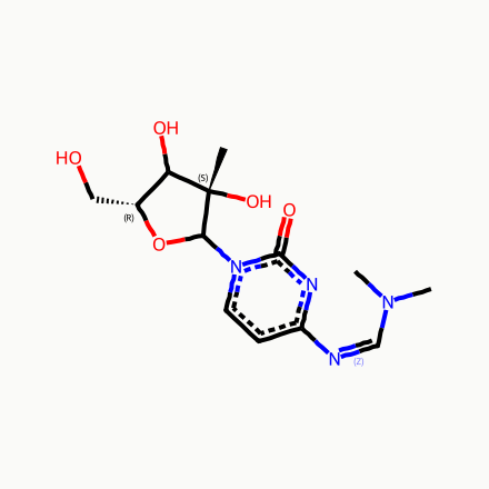 CN(C)/C=N\c1ccn(C2O[C@H](CO)C(O)[C@]2(C)O)c(=O)n1